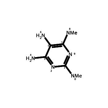 CNc1nc(N)c(N)c(NC)n1